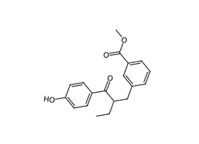 CCC(Cc1cccc(C(=O)OC)c1)C(=O)c1ccc(O)cc1